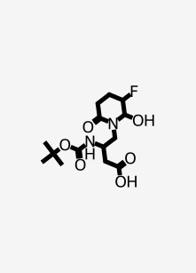 CC(C)(C)OC(=O)NC(CC(=O)O)CN1C(=O)CCC(F)C1O